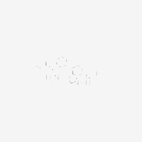 C=C(C)C(=O)Nc1cccc(-c2ccc(NC=O)c3[nH]ccc23)c1CN